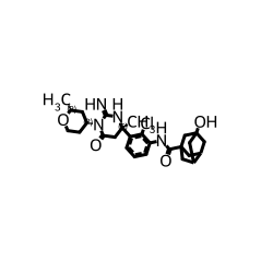 C[C@@H]1C[C@H](N2C(=N)N[C@](C)(c3cccc(NC(=O)C45CC6CC(O)(CC6C4)C5)c3Cl)CC2=O)CCO1